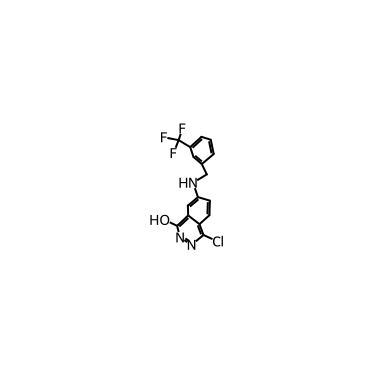 Oc1nnc(Cl)c2ccc(NCc3cccc(C(F)(F)F)c3)cc12